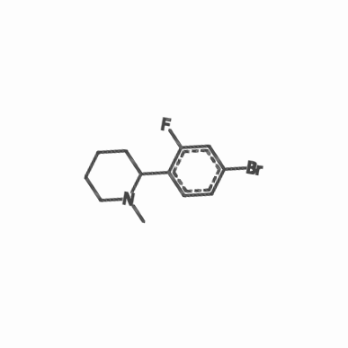 CN1CCCCC1c1ccc(Br)cc1F